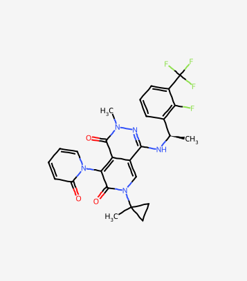 C[C@@H](Nc1nn(C)c(=O)c2c(-n3ccccc3=O)c(=O)n(C3(C)CC3)cc12)c1cccc(C(F)(F)F)c1F